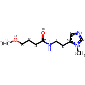 Cn1cncc1CCNC(=O)CCCOC=O